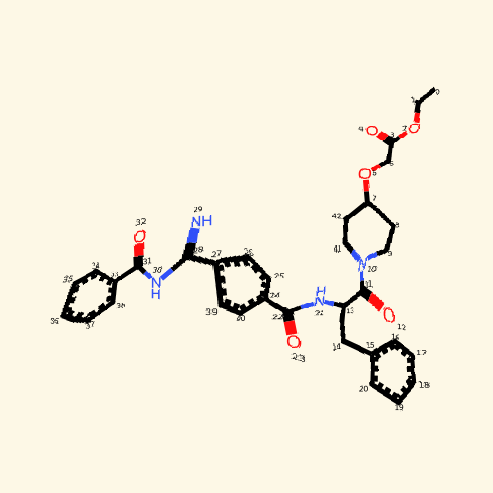 CCOC(=O)COC1CCN(C(=O)C(Cc2ccccc2)NC(=O)c2ccc(C(=N)NC(=O)c3ccccc3)cc2)CC1